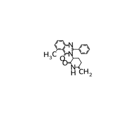 C=C1CCC(n2c(-c3ccccc3)nc3cccc(C)c3c2=O)C(=O)N1